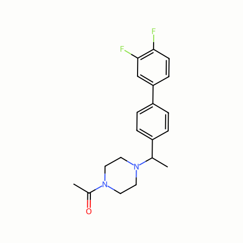 CC(=O)N1CCN(C(C)c2ccc(-c3ccc(F)c(F)c3)cc2)CC1